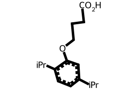 CC(C)c1ccc(C(C)C)c(OCCCC(=O)O)c1